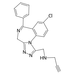 C#CCNCc1nnc2n1-c1ccc(Cl)cc1C(c1ccccc1)=NC2